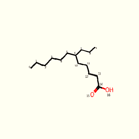 CCCCCCC(CCC)CCCCC(=O)O